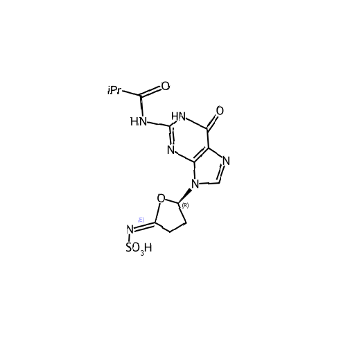 CC(C)C(=O)Nc1nc2c(ncn2[C@H]2CC/C(=N\S(=O)(=O)O)O2)c(=O)[nH]1